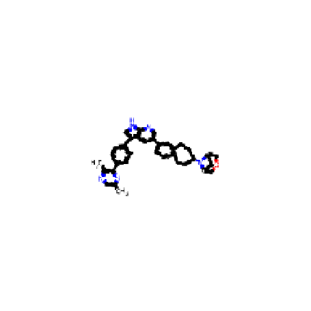 Cc1cnc(C)c(-c2ccc(-c3c[nH]c4ncc(-c5ccc6c(c5)CC[C@@H](N5C7COCC5C7)CC6)cc34)cc2)n1